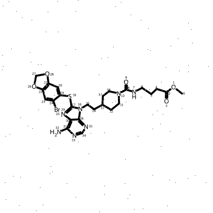 COC(=O)CCCNC(=O)N1CCC(CCn2c(Sc3cc4c(cc3Br)OCO4)nc3c(N)ncnc32)CC1